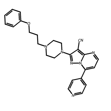 N#Cc1c(N2CCN(CCCOc3ccccc3)CC2)nn2c(-c3ccncc3)ccnc12